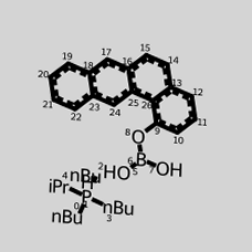 CCCC[PH](CCCC)(CCCC)C(C)C.OB(O)Oc1cccc2ccc3cc4ccccc4cc3c12